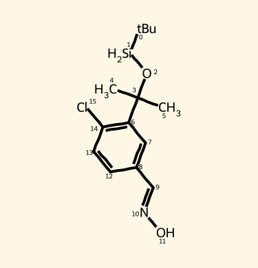 CC(C)(C)[SiH2]OC(C)(C)c1cc(C=NO)ccc1Cl